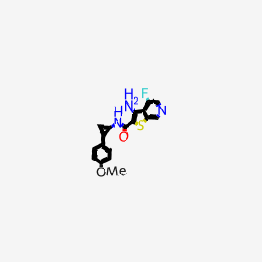 COc1ccc(C2CC2NC(=O)c2sc3cncc(F)c3c2N)cc1